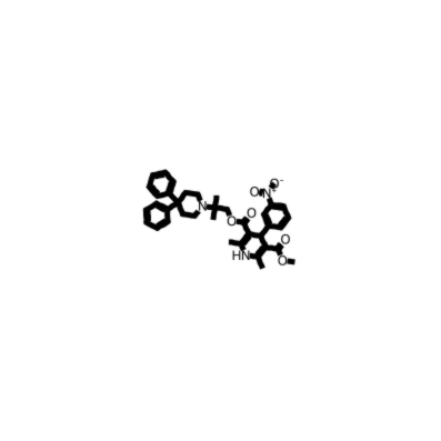 COC(=O)C1=C(C)NC(C)=C(C(=O)OCC(C)(C)N2CCC(c3ccccc3)(c3ccccc3)CC2)C1c1cccc([N+](=O)[O-])c1